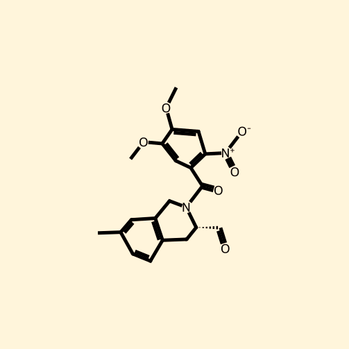 COc1cc(C(=O)N2Cc3cc(C)ccc3C[C@H]2C=O)c([N+](=O)[O-])cc1OC